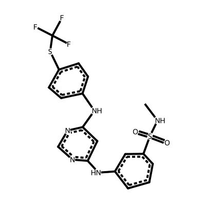 CNS(=O)(=O)c1cccc(Nc2cc(Nc3ccc(SC(F)(F)F)cc3)ncn2)c1